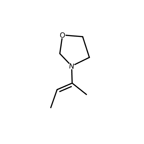 C/C=C(\C)N1CCOC1